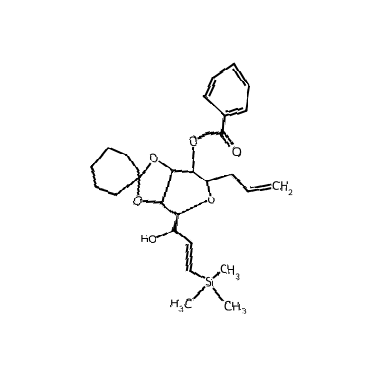 C=CCC1O[C@@H](C(O)/C=C/[Si](C)(C)C)C2OC3(CCCCC3)OC2C1OC(=O)c1ccccc1